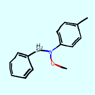 CON([SiH2]c1ccccc1)c1ccc(C)cc1